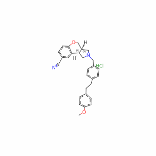 COc1ccc(CCc2ccc(CN3C[C@H]4COc5ccc(C#N)cc5[C@@H]4C3)cc2)cc1.Cl